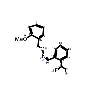 COc1ccccc1CO/N=[C]\c1ccccc1C(F)F